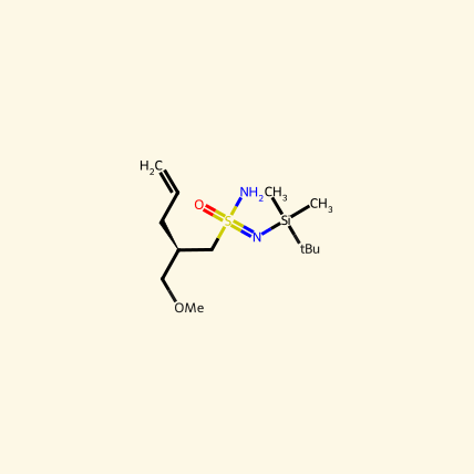 C=CC[C@H](COC)CS(N)(=O)=N[Si](C)(C)C(C)(C)C